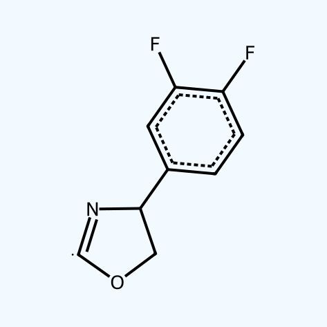 Fc1ccc(C2CO[C]=N2)cc1F